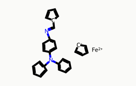 C(=N\c1ccc(N(c2ccccc2)c2ccccc2)cc1)/[c-]1cccc1.[Fe+2].c1cc[cH-]c1